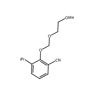 COCCOCOc1c(C#N)cccc1C(C)C